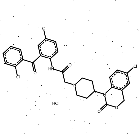 Cl.O=C(CN1CCC(N2C(=O)OCc3cc(Cl)ccc32)CC1)Nc1ccc(Cl)cc1C(=O)c1ccccc1Cl